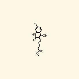 COC(=O)CCCSc1c(O)c2ccc(Cl)cc2[nH]c1=O